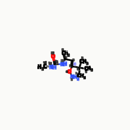 C=C(/C=C(\ON)C(C)(C)C)NC(=O)NC